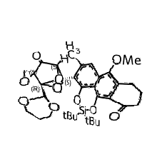 COc1c2c(c3c4c(c([C@@H]5O[C@@]6(C7OCCCO7)O[C@@H]5C(=O)[C@@]65CO5)c(C)cc14)O[Si](C(C)(C)C)(C(C)(C)C)O3)C(=O)CCC2